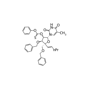 CCCC=C[C@]1(COCc2ccccc2)O[C@@H](n2cc(C)c(=O)[nH]c2=O)[C@H](OC(=S)Oc2ccccc2)[C@@H]1OCc1ccccc1